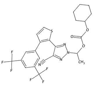 CC(OC(=O)OC1CCCCC1)n1nc(C#N)c(-c2sccc2-c2cc(C(F)(F)F)cc(C(F)(F)F)c2)n1